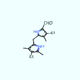 CCc1c(C)[nH]c(Cc2[nH]c(C=O)c(CC)c2C)c1C